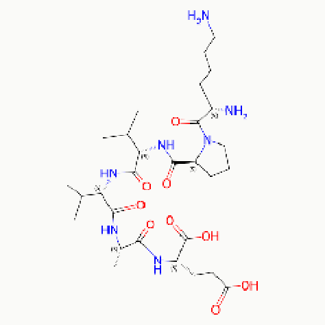 CC(C)[C@H](NC(=O)[C@@H](NC(=O)[C@@H]1CCCN1C(=O)[C@@H](N)CCCCN)C(C)C)C(=O)N[C@@H](C)C(=O)N[C@@H](CCC(=O)O)C(=O)O